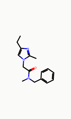 CCc1cn(CC(=O)N(C)Cc2ccccc2)c(C)n1